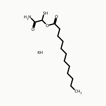 CCCCCCCCCCCC(=O)OC(S)C(N)=O.[KH]